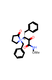 CONC(=O)C(=O)[C@@H](Cc1ccccc1)[N+]1(Cc2ccccc2)CCCC1=O